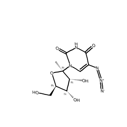 C[C@@]1(n2cc(N=[N+]=[N-])c(=O)[nH]c2=O)O[C@H](CO)[C@@H](O)[C@H]1O